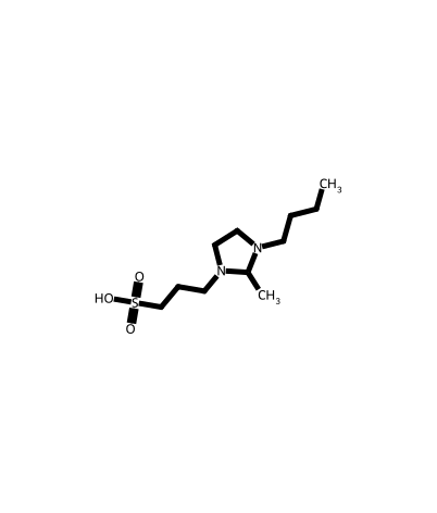 CCCCN1CCN(CCCS(=O)(=O)O)C1C